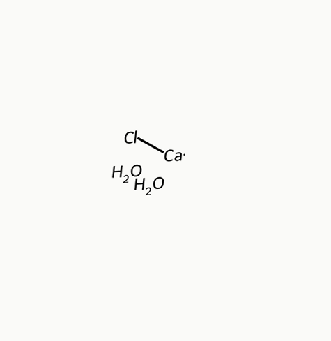 O.O.[Cl][Ca]